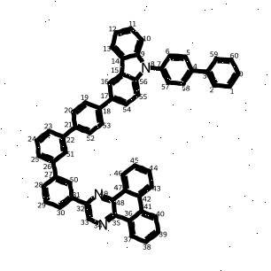 c1ccc(-c2ccc(-n3c4ccccc4c4cc(-c5ccc(-c6cccc(-c7cccc(-c8cnc9c%10ccccc%10c%10ccccc%10c9n8)c7)c6)cc5)ccc43)cc2)cc1